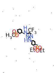 CCOP(=O)(Cc1ccc(Nc2ncc(C(F)(F)F)c(NCc3cccc(S(C)(=O)=O)c3)n2)cc1)OCC